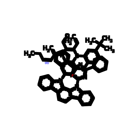 C=CC1=C(CC)N(C(=C)/C=C\CC)c2cc(-n3c4ccccc4c4ccc5c6ccccc6n(-c6nc(-c7ccccc7)nc(-c7ccccc7)n6)c5c43)cc3c2B1c1cc(C(C)(C)C)ccc1O3